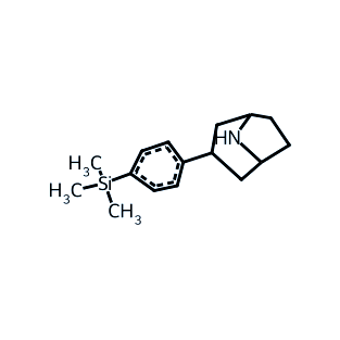 C[Si](C)(C)c1ccc(C2CC3CCC(C2)N3)cc1